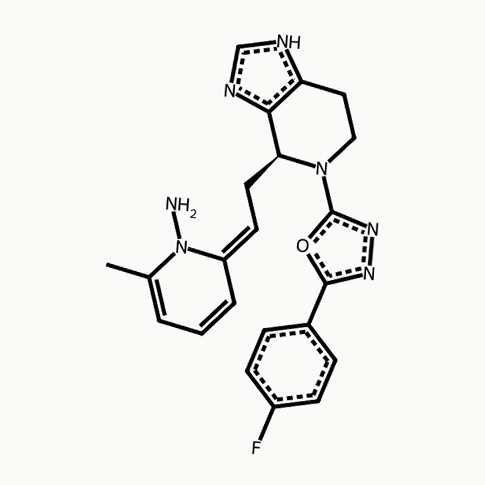 CC1=CC=C/C(=C/C[C@H]2c3nc[nH]c3CCN2c2nnc(-c3ccc(F)cc3)o2)N1N